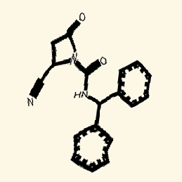 N#CC1CC(=O)N1C(=O)NC(c1ccccc1)c1ccccc1